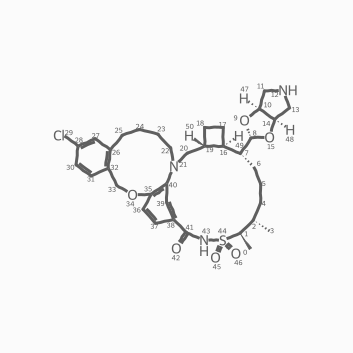 C[C@@H]1[C@@H](C)CCC[C@@H]([C@@H]2O[C@H]3CNC[C@H]3O2)[C@@H]2CC[C@H]2CN2CCCCc3cc(Cl)ccc3COc3ccc(cc32)C(=O)NS1(=O)=O